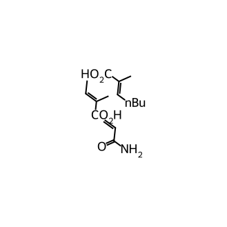 C=CC(N)=O.CC=C(C)C(=O)O.CCCCC=C(C)C(=O)O